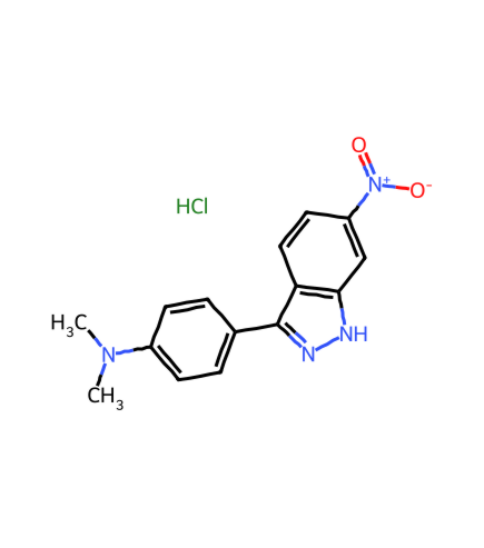 CN(C)c1ccc(-c2n[nH]c3cc([N+](=O)[O-])ccc23)cc1.Cl